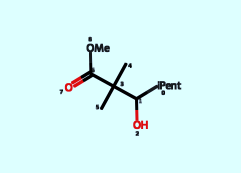 CCCC(C)C(O)C(C)(C)C(=O)OC